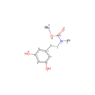 CC(C)N(C[CH]c1cc(O)cc(O)c1)C(=O)OC(C)(C)C